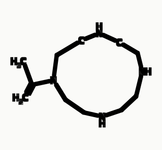 C=C(C)N1CCNCCNCCNCC1